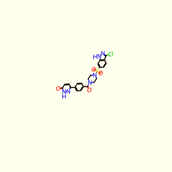 O=C(c1ccc(-c2ccc(=O)[nH]n2)cc1)N1CCN(S(=O)(=O)c2ccc3c(Cl)n[nH]c3c2)CC1